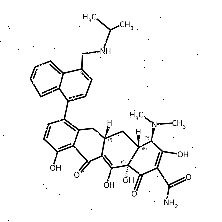 CC(C)NCc1ccc(-c2ccc(O)c3c2C[C@@H]2C[C@@H]4[C@@H](N(C)C)C(O)=C(C(N)=O)C(=O)[C@@]4(O)C(O)=C2C3=O)c2ccccc12